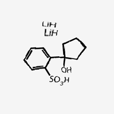 O=S(=O)(O)c1ccccc1C1(O)CCCC1.[LiH].[LiH]